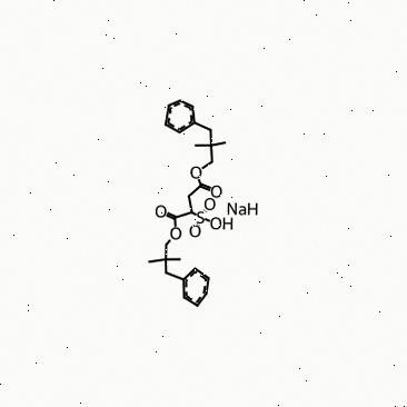 CC(C)(COC(=O)CC(C(=O)OCC(C)(C)Cc1ccccc1)S(=O)(=O)O)Cc1ccccc1.[NaH]